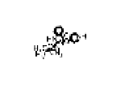 CC(C)(C)OC(=O)C1=NC(Cl)(OC2CCNCC2)c2ccccc2N1